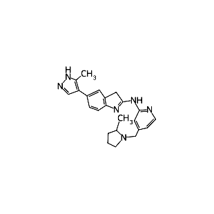 Cc1[nH]ncc1-c1ccc2c(c1)CC(Nc1cc(CN3CCCC3C)ccn1)=N2